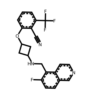 N#Cc1c(OC2CC(NCc3c(F)ccc4cnccc34)C2)cccc1C(F)(F)F